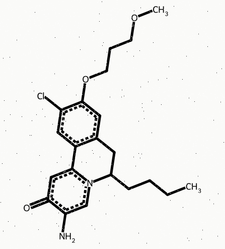 CCCCC1Cc2cc(OCCCOC)c(Cl)cc2-c2cc(=O)c(N)cn21